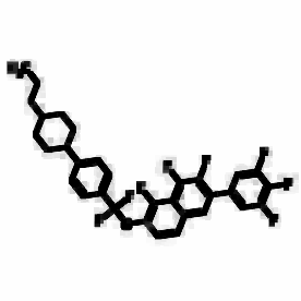 CCCC1CCC(c2ccc(C(F)(F)Oc3ccc4cc(-c5cc(F)c(F)c(F)c5)c(F)c(F)c4c3F)cc2)CC1